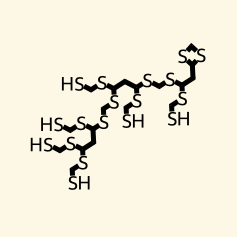 SCSC(CC(SCS)SCSC(CC(SCS)SCSC(CC1SCS1)SCS)SCS)SCS